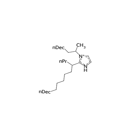 CCCCCCCCCCCCCCCC(CCC)c1[nH]cc[n+]1C(C)CCCCCCCCCCC